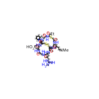 CCC(=O)C1NC(=O)[C@H](Cc2ccccc2)NC(=O)[C@@H]2CSSC[C@H](NC(=O)[C@H](CCCCNC)NC(=O)CS1)C(=O)N[C@@H](CCCNC(=N)N)C(=O)NCC(=O)N[C@@H](CC(=O)O)C(=O)N2